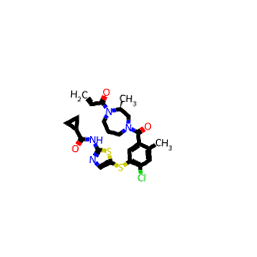 C=CC(=O)N1CCCN(C(=O)c2cc(Sc3cnc(NC(=O)C4CC4)s3)c(Cl)cc2C)C[C@H]1C